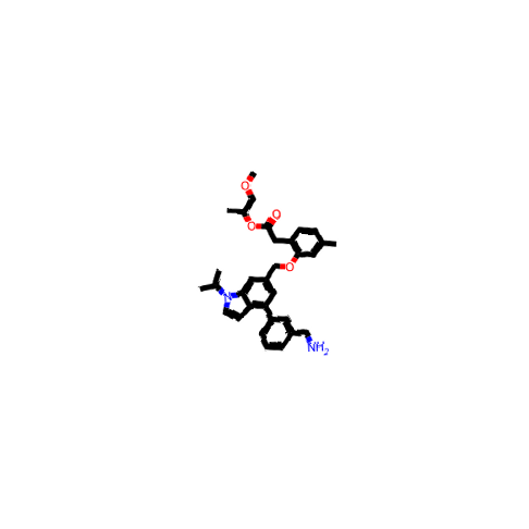 COCC(C)OC(=O)Cc1ccc(C)cc1OCc1cc(-c2cccc(CN)c2)c2ccn(C(C)C)c2c1